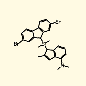 CC1=Cc2c(cccc2N(C)C)C1[Si](C)(C)C1c2cc(Br)ccc2-c2ccc(Br)cc21